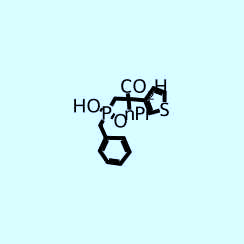 CCCC(CP(=O)(O)Cc1ccccc1)(C(=O)O)c1ccsc1